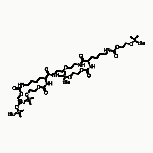 CC(C)(C)[Si](C)(C)OCCOC(=O)NCCCCC(NC(=O)OCCO[Si](C)(C)C(C)(C)C)C(=O)NCCOCCNC(=O)C(CCCCNC(=O)OCCO[Si](C)(C)C(C)(C)C)NC(=O)OCCO[Si](C)(C)C(C)(C)C